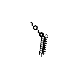 CCC[C@H]1CC[C@H](CCc2ccc(C(=O)C(F)(F)C(F)(F)C(F)(F)C(F)(F)C(F)(F)C(F)(F)C(F)(F)C(F)(F)F)cc2)CC1